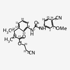 COc1cc(NC(=O)Nc2cccc([C@@H](C)N(C)C(=O)OCCC#N)c2)ccc1C#N